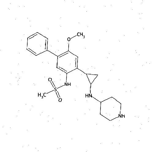 COc1cc(C2CC2NC2CCNCC2)c(NS(C)(=O)=O)cc1-c1ccccc1